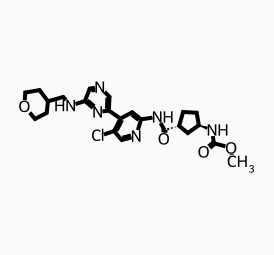 COC(=O)N[C@@H]1CC[C@@H](C(=O)Nc2cc(-c3cncc(NCC4CCOCC4)n3)c(Cl)cn2)C1